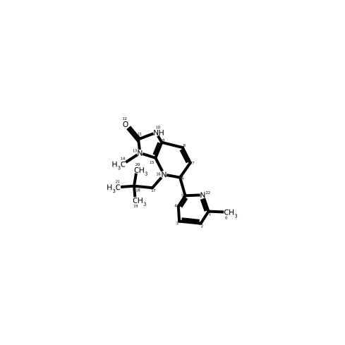 Cc1cccc(C2C=Cc3[nH]c(=O)n(C)c3N2CC(C)(C)C)n1